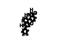 O=c1[nH][nH]c2cc(OCCC(Nc3ccccn3)c3ccccc3)ccc12